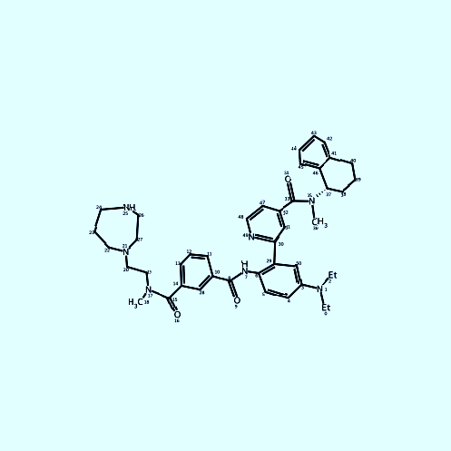 CCN(CC)c1ccc(NC(=O)c2cccc(C(=O)N(C)CCN3CCCNCC3)c2)c(-c2cc(C(=O)N(C)[C@H]3CCCc4ccccc43)ccn2)c1